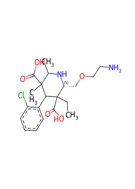 CCC1(C(=O)O)C(c2ccccc2Cl)C(C)(C(=O)O)C(C)N[C@@H]1COCCN